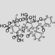 CC(=O)Nc1cc(Nc2cc(S(=O)(=O)O)c3[nH]c(=O)c(C(=O)c4ccccc4)c4c3c2C(=O)c2ccccc2-4)c(S(=O)(=O)O)cc1S(=O)(=O)O